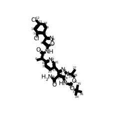 CC(C(=O)Nc1cc(-c2ccc(Cl)cc2Cl)no1)c1ccc(-c2nn(C(C)C)c(NC(=O)OC(C)(C)C)c2C(N)=O)cn1